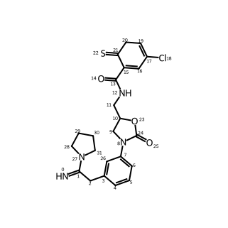 N=C(Cc1cccc(N2CC(CNC(=O)C3=CC(Cl)=CCC3=S)OC2=O)c1)N1CCCC1